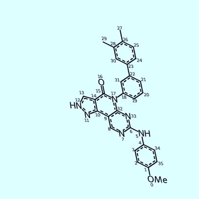 COc1ccc(Nc2ncc3c4n[nH]cc4c(=O)n(-c4cccc(-c5ccc(C)c(C)c5)c4)c3n2)cc1